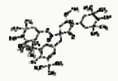 COC(=O)CC(Cc1cc(C(C)(C)C)c(O)c(C(C)(C)C)c1)(C(=O)OC1CC(C)(C)N(O)C(C)(C)C1)C(=O)OC1CC(C)(C)N(O)C(C)(C)C1